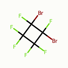 FC1(F)C(F)(F)C(F)(Br)C1(F)Br